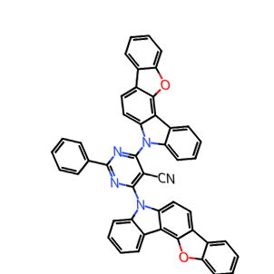 N#Cc1c(-n2c3ccccc3c3c4oc5ccccc5c4ccc32)nc(-c2ccccc2)nc1-n1c2ccccc2c2c3oc4ccccc4c3ccc21